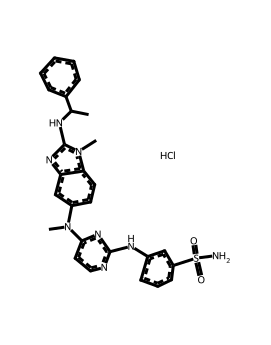 CC(Nc1nc2cc(N(C)c3ccnc(Nc4cccc(S(N)(=O)=O)c4)n3)ccc2n1C)c1ccccc1.Cl